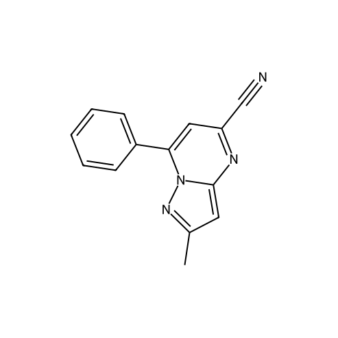 Cc1cc2nc(C#N)cc(-c3ccccc3)n2n1